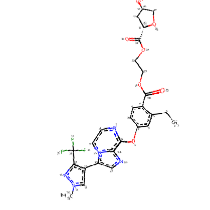 CCc1cc(Oc2nccn3c(-c4cn(C)nc4C(F)(F)F)cnc23)ccc1C(=O)OCCOC(=O)[C@@H]1C[C@@H](O)CO1